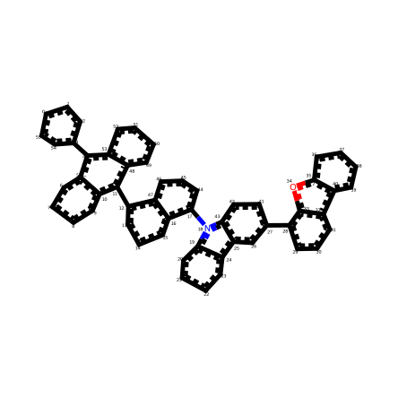 c1ccc(-c2c3ccccc3c(-c3cccc4c(-n5c6ccccc6c6cc(-c7cccc8c7oc7ccccc78)ccc65)cccc34)c3ccccc23)cc1